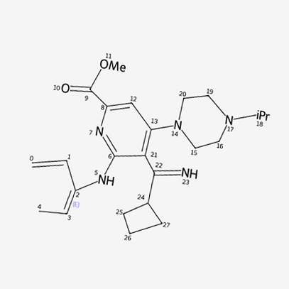 C=C/C(=C\C)Nc1nc(C(=O)OC)cc(N2CCN(C(C)C)CC2)c1C(=N)C1CCC1